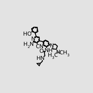 CN(C)[C@H]1CCN(c2ccc(-c3cc(-c4ccccc4O)nc(N)c3C#N)cc2NC(=O)CNCC2CC2)C1